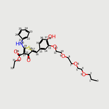 CCCOCCOCCOCCOc1cc(/C=C2\SC(Nc3ccccc3)=C(C(=O)OCC)C2=O)ccc1O